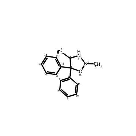 CB1NC(C(C)C)C(c2ccccc2)(c2ccccc2)O1